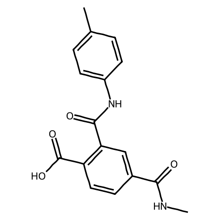 CNC(=O)c1ccc(C(=O)O)c(C(=O)Nc2ccc(C)cc2)c1